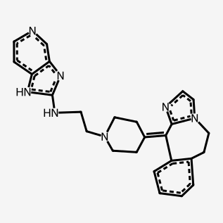 c1ccc2c(c1)CCn1ccnc1C2=C1CCN(CCNc2nc3cnccc3[nH]2)CC1